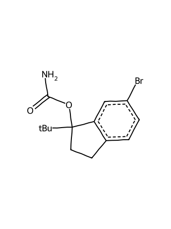 CC(C)(C)C1(OC(N)=O)CCc2ccc(Br)cc21